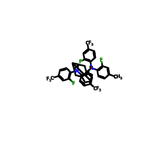 Cc1ccc(N(c2ccc(C(F)(F)F)cc2F)C23CC4CC2CC2C4C2(N(c2ccc(C(F)(F)F)cc2F)c2ccc(C(F)(F)F)cc2F)C3)c(F)c1